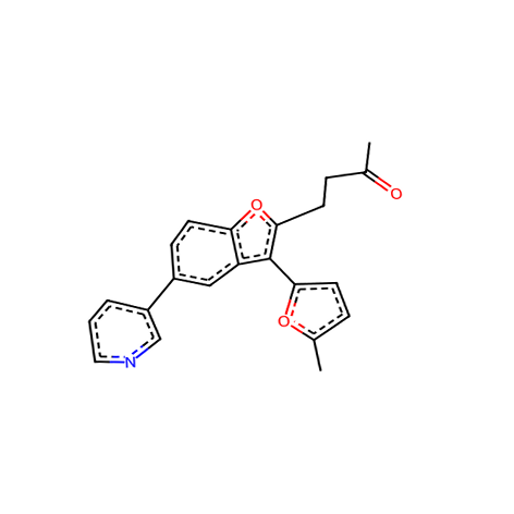 CC(=O)CCc1oc2ccc(-c3cccnc3)cc2c1-c1ccc(C)o1